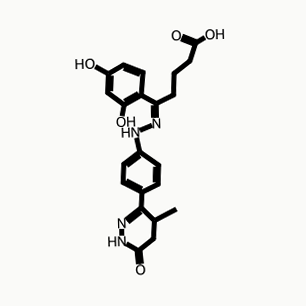 CC1CC(=O)NN=C1c1ccc(NN=C(CCCC(=O)O)c2ccc(O)cc2O)cc1